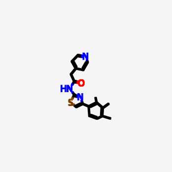 Cc1ccc(-c2csc(NC(=O)Cc3ccncc3)n2)c(C)c1C